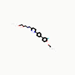 C=CCOc1ccc(-c2ccc(-c3ccc(/C=C/CCCC(C)O)cn3)cc2)cc1F